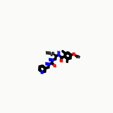 Cc1cc(OC(C)C)cc(C)c1C(=O)N[C@@H](CNC(=O)NCc1cccnc1)C(=O)O